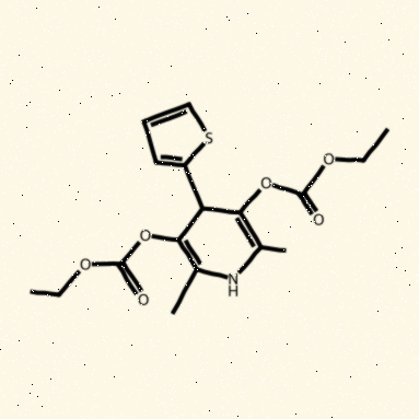 CCOC(=O)OC1=C(C)NC(C)=C(OC(=O)OCC)C1c1cccs1